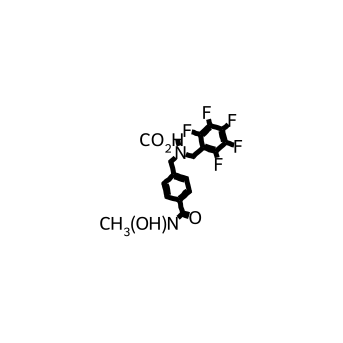 CN(O)C(=O)c1ccc(CN(Cc2c(F)c(F)c(F)c(F)c2F)C(=O)O)cc1